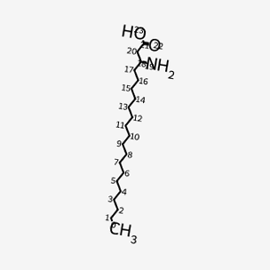 CCCCCCCCCCCCCCCCCCC(N)CC(=O)O